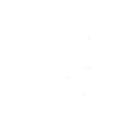 COc1ccnc(C(=O)N[C@@H](C)C(=O)O[C@@H](C)c2ccc(-c3ccc(Cl)cc3)cc2)c1O